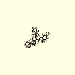 COc1cccc(CC(O)c2c(OC3CCCCO3)ccc3c2cnn3C2CCCCO2)c1